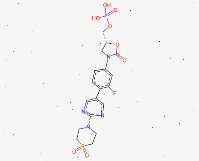 O=C1O[C@@H](COP(=O)(O)O)CN1c1ccc(-c2cnc(N3CCS(=O)(=O)CC3)nc2)c(F)c1